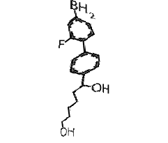 Bc1ccc(-c2ccc(C(O)CCCCCO)cc2)c(F)c1